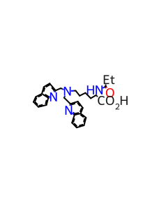 CCC(=O)NC(CCCCN(Cc1ccc2ccccc2n1)Cc1ccc2ccccc2n1)C(=O)O